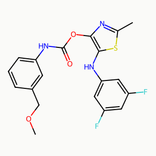 COCc1cccc(NC(=O)Oc2nc(C)sc2Nc2cc(F)cc(F)c2)c1